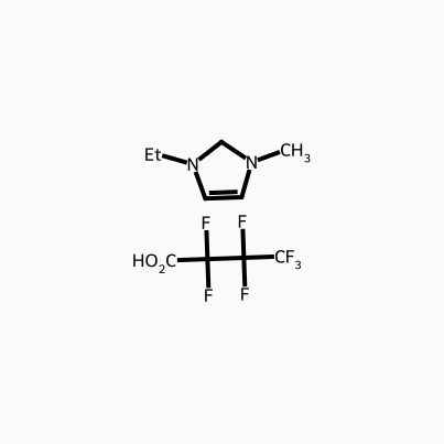 CCN1C=CN(C)C1.O=C(O)C(F)(F)C(F)(F)C(F)(F)F